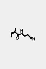 CC=C(C)C(=O)NCCC#N